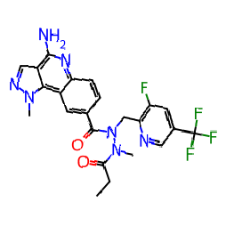 CCC(=O)N(C)N(Cc1ncc(C(F)(F)F)cc1F)C(=O)c1ccc2nc(N)c3cnn(C)c3c2c1